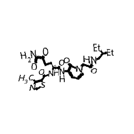 CCC(CC)CNC(=O)Cn1cccc(NC(=O)[C@H](CCC(=O)C(N)=O)NC(=O)c2scnc2C)c1=O